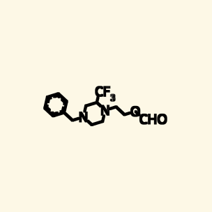 O=COCCN1CCN(Cc2ccccc2)CC1C(F)(F)F